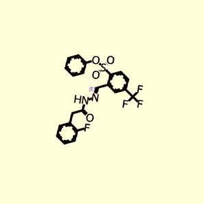 O=C(Cc1ccccc1F)N/N=C/c1cc(C(F)(F)F)ccc1S(=O)(=O)Oc1ccccc1